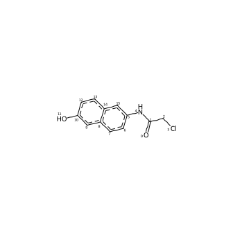 O=C(CCl)Nc1ccc2cc(O)ccc2c1